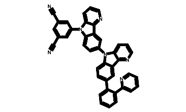 N#Cc1cc(C#N)cc(-n2c3ccc(-n4c5ccc(-c6ccccc6-c6ccccn6)cc5c5ncccc54)cc3c3ncccc32)c1